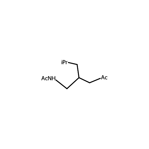 CC(=O)CC(CNC(C)=O)CC(C)C